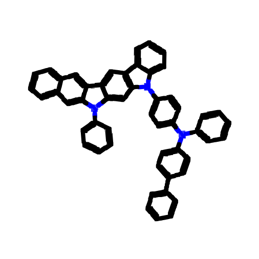 c1ccc(-c2ccc(N(c3ccccc3)c3ccc(-n4c5ccccc5c5cc6c7cc8ccccc8cc7n(-c7ccccc7)c6cc54)cc3)cc2)cc1